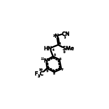 CS/C(=N\C#N)Nc1cccc(C(F)(F)F)n1